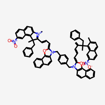 C=C(/C=C/C=C1\Oc2c(ccc3ccccc23)N1Cc1ccc(CN2/C(=C/C=C/C3=[N+](C)c4ccc5ccc([N+](=O)[O-])cc5c4C3(C)Cc3ccccc3)Oc3c2ccc2ccccc32)cc1)C(C)(Cc1ccccc1)c1c(C)ccc2ccc([N+](=O)[O-])cc12